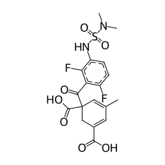 CC1=CC(C(=O)O)(C(=O)c2c(F)ccc(NS(=O)(=O)N(C)C)c2F)CC(C(=O)O)=C1